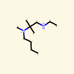 CCCCN(C)C(C)(C)CNCC